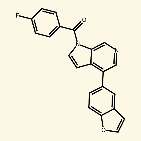 O=C(c1ccc(F)cc1)n1ccc2c(-c3ccc4occc4c3)cncc21